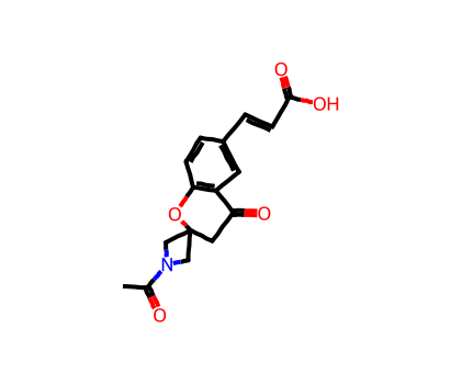 CC(=O)N1CC2(CC(=O)c3cc(C=CC(=O)O)ccc3O2)C1